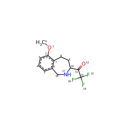 COc1cccc2c1CCC(C(=O)C(F)(F)F)NC2